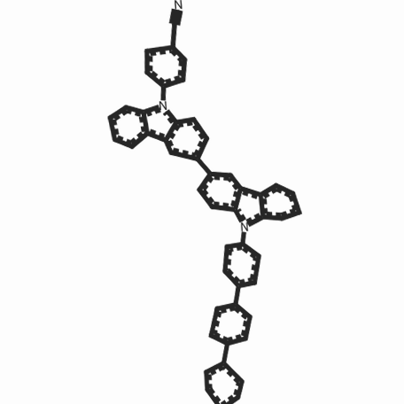 N#Cc1ccc(-n2c3ccccc3c3cc(-c4ccc5c(c4)c4ccccc4n5-c4ccc(-c5ccc(-c6ccccc6)cc5)cc4)ccc32)cc1